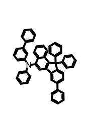 c1ccc(-c2cccc(N(c3ccccc3)c3cc4c(c5ccccc35)C(c3ccccc3)(c3ccccc3)c3ccc(-c5ccccc5)cc3-4)c2)cc1